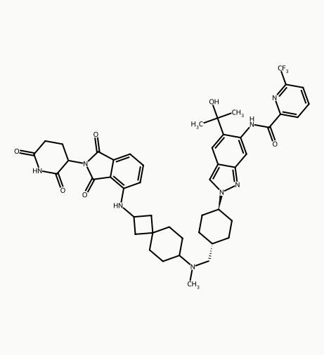 CN(C[C@H]1CC[C@H](n2cc3cc(C(C)(C)O)c(NC(=O)c4cccc(C(F)(F)F)n4)cc3n2)CC1)C1CCC2(CC1)CC(Nc1cccc3c1C(=O)N(C1CCC(=O)NC1=O)C3=O)C2